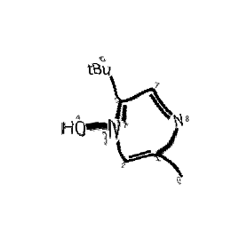 Cc1c[n+](O)c(C(C)(C)C)cn1